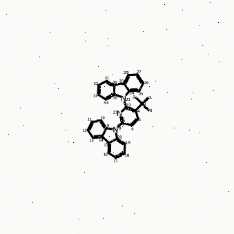 CC(C)(C)c1ccc(-n2c3ccccc3c3ccccc32)nc1-n1c2ccccc2c2ccccc21